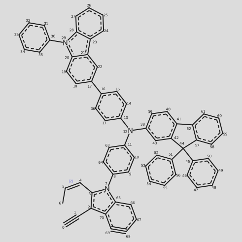 C#Cc1c(/C=C\C)n(-c2ccc(N(c3ccc(-c4ccc5c(c4)c4ccccc4n5-c4ccccc4)cc3)c3ccc4c(c3)C(c3ccccc3)(c3ccccc3)c3ccccc3-4)cc2)c2ccc#cc12